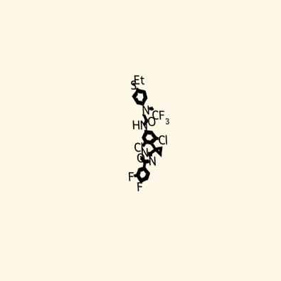 CCSc1ccc(N(CC(=O)Nc2cc(Cl)c(C3(c4noc(-c5ccc(F)c(F)c5)n4)CC3)c(Cl)c2)CC(F)(F)F)cc1